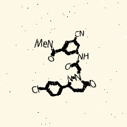 CNC(=O)c1cc(C#N)cc(NC(=O)Cn2nc(-c3ccc(Cl)cc3)ccc2=O)c1